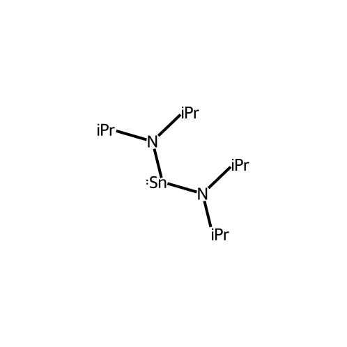 CC(C)[N]([Sn][N](C(C)C)C(C)C)C(C)C